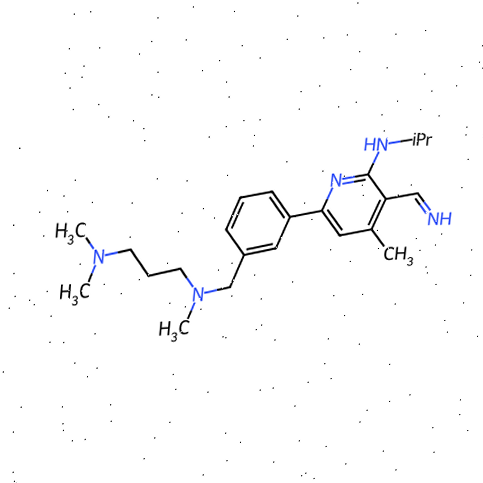 Cc1cc(-c2cccc(CN(C)CCCN(C)C)c2)nc(NC(C)C)c1C=N